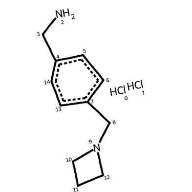 Cl.Cl.NCc1ccc(CN2CCC2)cc1